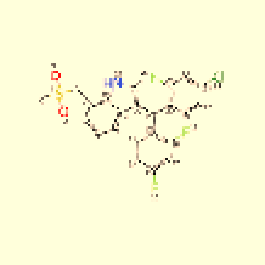 CS(=O)(=O)Cc1cccc2c(C(c3ccc(F)cc3F)c3ccc(Cl)cc3F)c[nH]c12